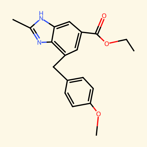 CCOC(=O)c1cc(Cc2ccc(OC)cc2)c2nc(C)[nH]c2c1